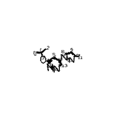 CC(C)Oc1cc(-n2ccc(I)n2)cnn1